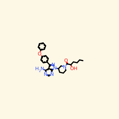 CCCCC(O)C(=O)N1CCCC(n2nc(-c3ccc(Oc4ccccc4)cc3)c3c(N)ncnc32)C1